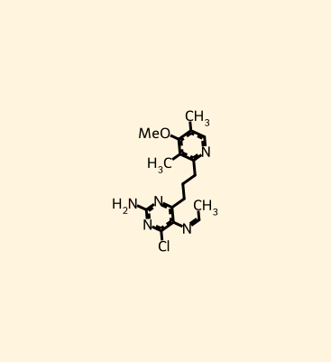 C/C=N\c1c(Cl)nc(N)nc1CCCc1ncc(C)c(OC)c1C